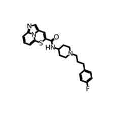 O=C(NC1CCN(CCCc2ccc(F)cc2)CC1)C1=Cc2cnc3cccc(n23)S1